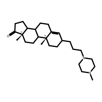 CN1CCN(CCCC2C=C3CCC4C(CC[C@]5(C)C(=O)CCC45)[C@@]3(C)CC2)CC1